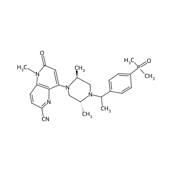 CC(c1ccc(P(C)(C)=O)cc1)N1C[C@H](C)N(c2cc(=O)n(C)c3ccc(C#N)nc23)C[C@H]1C